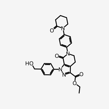 CCOC(=O)c1nn(-c2ccc(CO)cc2)c2c1CCN(c1ccc(N3CCCCC3=O)cc1)C2=O